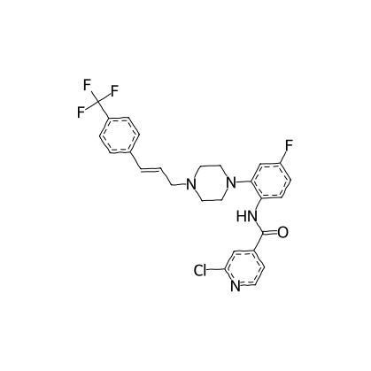 O=C(Nc1ccc(F)cc1N1CCN(C/C=C/c2ccc(C(F)(F)F)cc2)CC1)c1ccnc(Cl)c1